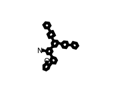 N#Cc1cc(-c2cc(-c3ccc(-c4ccccc4)cc3)cc(-c3ccc(-c4ccccc4)cc3)c2)cc(-c2cccc3c2oc2ccccc23)c1